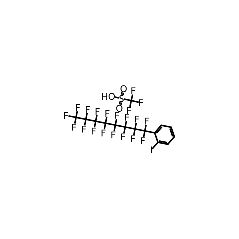 FC(F)(F)C(F)(F)C(F)(F)C(F)(F)C(F)(F)C(F)(F)C(F)(F)C(F)(F)c1ccccc1I.O=S(=O)(O)C(F)(F)F